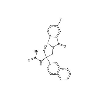 O=C1NC(=O)C(CN2Cc3ccc(F)cc3C2=O)(c2ccc3ccccc3c2)N1